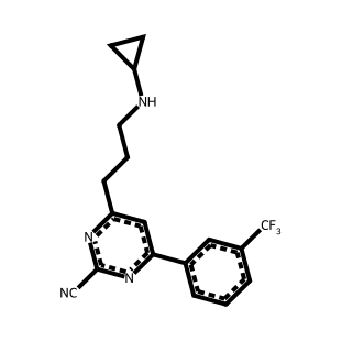 N#Cc1nc(CCCNC2CC2)cc(-c2cccc(C(F)(F)F)c2)n1